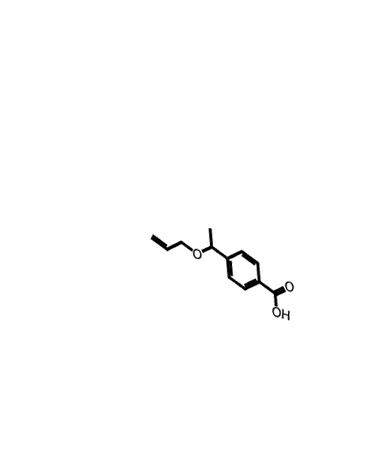 C=CCOC(C)c1ccc(C(=O)O)cc1